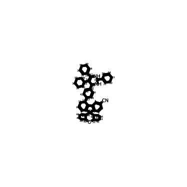 N#Cc1ccc2c(c1)C1=C(C=CCC1C1C=CC(C3NC(C4=CCCC=C4)NC(C4=CCCC=C4)=C3C3CCCCC3)=CC1)C21C2CCCCC2OC2CCCCC21